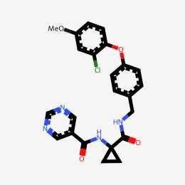 COc1ccc(Oc2ccc(CNC(=O)C3(NC(=O)c4cncnc4)CC3)cc2)c(Cl)c1